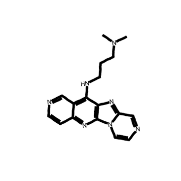 CN(C)CCCNc1c2cnccc2nc2c1nc1cnccn12